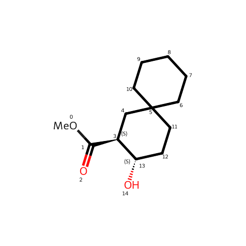 COC(=O)[C@H]1CC2(CCCCC2)CC[C@@H]1O